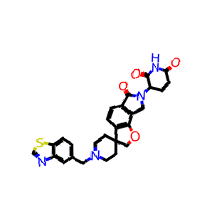 O=C1CCC(N2Cc3c(ccc4c3OCC43CCN(Cc4ccc5scnc5c4)CC3)C2=O)C(=O)N1